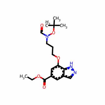 CCOC(=O)c1cc(OCCCN(C=O)OC(C)(C)C)c2[nH]ncc2c1